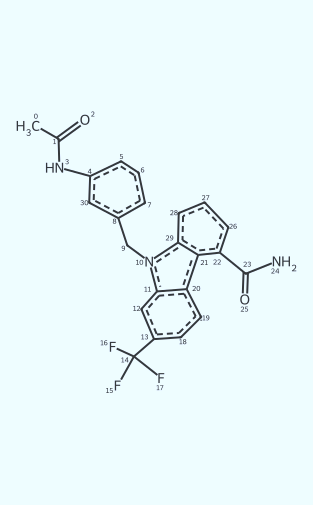 CC(=O)Nc1cccc(Cn2c3cc(C(F)(F)F)c[c]c3c3c(C(N)=O)cccc32)c1